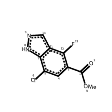 COC(=O)c1cc(Cl)c2[nH]ncc2c1F